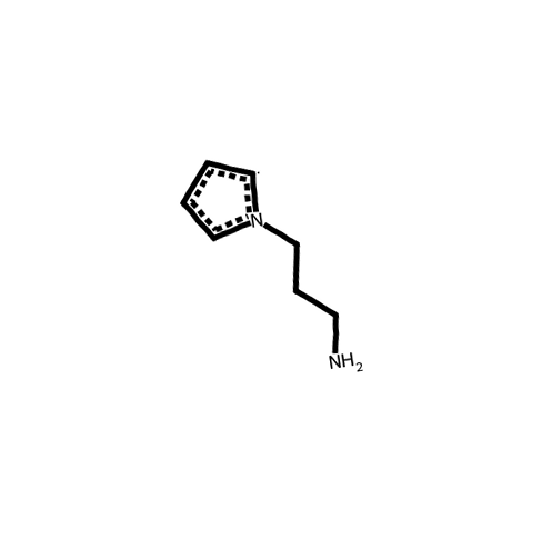 NCCCn1[c]ccc1